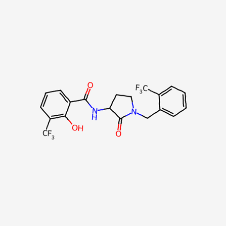 O=C(NC1CCN(Cc2ccccc2C(F)(F)F)C1=O)c1cccc(C(F)(F)F)c1O